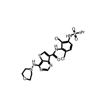 CCCS(=O)(=O)Nc1ccc(Cl)c(NC(=O)c2csc3c(NN4CCOCC4)ncnc23)c1Cl